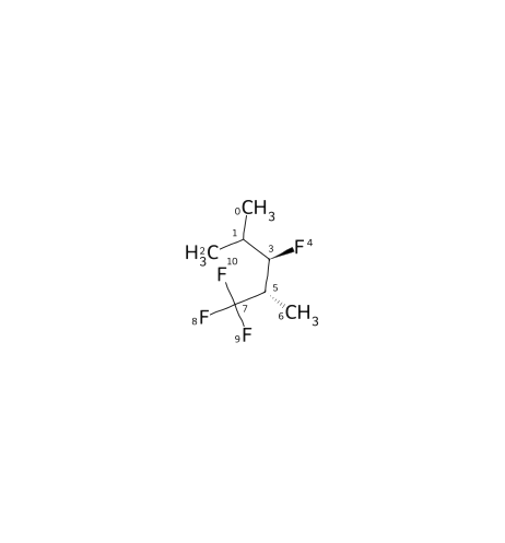 CC(C)[C@@H](F)[C@H](C)C(F)(F)F